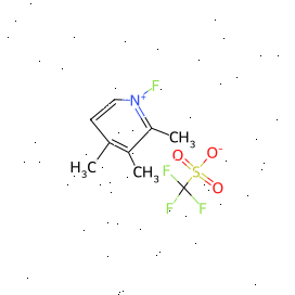 Cc1cc[n+](F)c(C)c1C.O=S(=O)([O-])C(F)(F)F